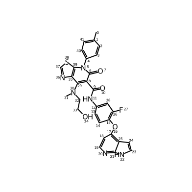 Cc1ccc(-n2c(=O)c(C(=O)Nc3ccc(Oc4ccnc5[nH]ccc45)c(F)c3)c(N(C)CCO)c3ncsc32)cc1